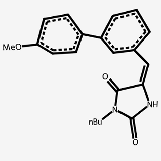 CCCCN1C(=O)NC(=Cc2cccc(-c3ccc(OC)cc3)c2)C1=O